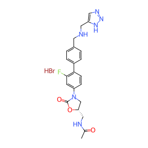 Br.CC(=O)NC[C@H]1CN(c2ccc(-c3ccc(CNCc4cnn[nH]4)cc3)c(F)c2)C(=O)O1